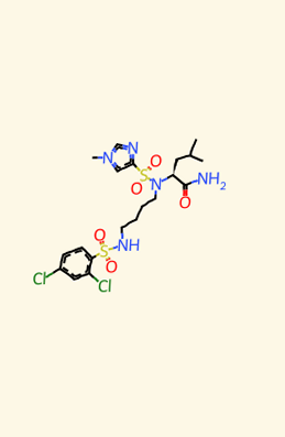 CC(C)C[C@@H](C(N)=O)N(CCCCNS(=O)(=O)c1ccc(Cl)cc1Cl)S(=O)(=O)c1cn(C)cn1